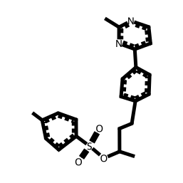 Cc1ccc(S(=O)(=O)OC(C)CCc2ccc(-c3ccnc(C)n3)cc2)cc1